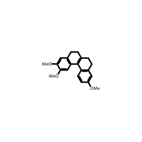 COc1ccc2c(c1)CCC1=C2c2cc(OC)c(OC)cc2CC1